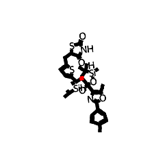 Cc1ccc(-c2nc(C(CCc3ccc(CC4SC(=O)NC4=O)s3)(O[SiH](C)C(C)(C)C)O[SiH](C)C(C)(C)C)c(C)o2)cc1